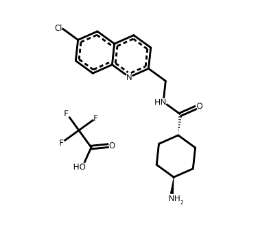 N[C@H]1CC[C@H](C(=O)NCc2ccc3cc(Cl)ccc3n2)CC1.O=C(O)C(F)(F)F